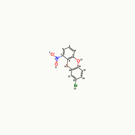 O=[N+]([O-])c1cccc2c1Sc1cc(Br)ccc1O2